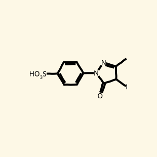 CC1=NN(c2ccc(S(=O)(=O)O)cc2)C(=O)C1I